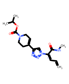 C=C/C=C(\C(=O)NC)n1cc(C2=CCN(C(=O)OC(C)C)CC2)nn1